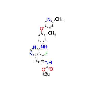 Cc1ccc(Oc2ccc(Nc3ncnc4ccc(NC(=O)OC(C)(C)C)c(F)c34)cc2C)cn1